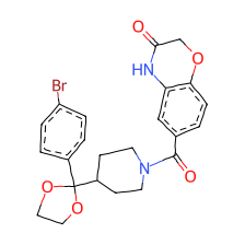 O=C1COc2ccc(C(=O)N3CCC(C4(c5ccc(Br)cc5)OCCO4)CC3)cc2N1